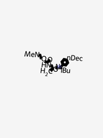 C=C(CNC(=O)COCCNC)O/N=C(/c1ccc(CCCCCCCCCC)cc1)C(C)CC